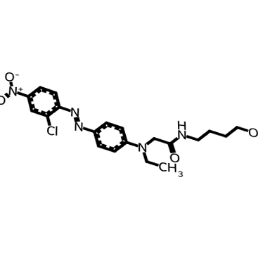 CCN(CC(=O)NCCCCO)c1ccc(/N=N/c2ccc([N+](=O)[O-])cc2Cl)cc1